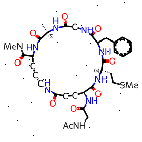 CNC(=O)C1CCCNC(=O)CCC(NC(=O)CNC(C)=O)C(=O)N[C@@H](CCSC)C(=O)NC(Cc2ccccc2)C(=O)NCC(=O)N[C@@H](C)C(=O)N1